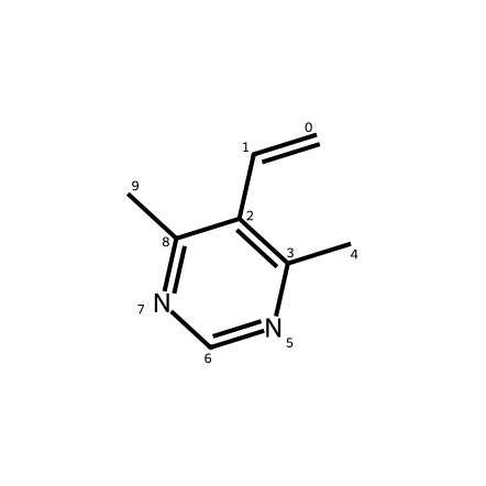 C=Cc1c(C)ncnc1C